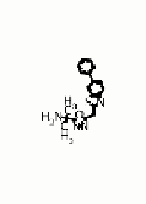 CC(C)(N)c1nnc(Cc2nc3ccc(-c4ccccc4)cc3s2)o1